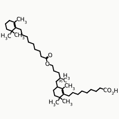 CC1=C(CCCCCCCCC(=O)OCCC[C@@H](C)CC2CCC(C)(C)C(CCCCCCCCC(=O)O)=C2C)C(C)(C)CCC1